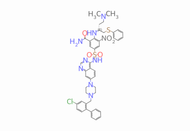 CN(C)CC[C@H](CSc1ccccc1)Nc1c(C(N)=O)cc(S(=O)(=O)Nc2ncnc3cc(N4CCN(Cc5cc(Cl)ccc5-c5ccccc5)CC4)ccc23)cc1[N+](=O)[O-]